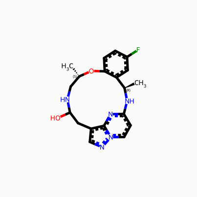 C[C@H]1CNC(O)Cc2cnn3ccc(nc23)N[C@H](C)c2cc(F)ccc2O1